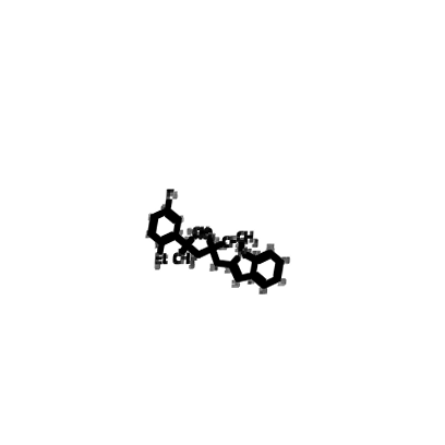 CCc1ccc(F)cc1C(C)(C)CC(O)(Cc1cc2ccccc2n1C)C(F)(F)F